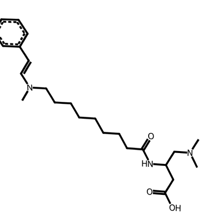 CN(C)CC(CC(=O)O)NC(=O)CCCCCCCCN(C)C=Cc1ccccc1